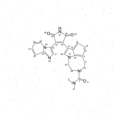 CN(C)C(=O)N1CCc2cccc3c(C4=C(c5cnc6ccccn56)C(=O)NC4=O)cn(c23)CC1